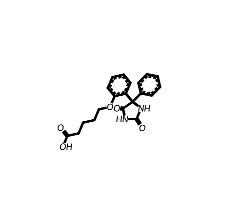 O=C(O)CCCCOc1ccccc1C1(c2ccccc2)NC(=O)NC1=O